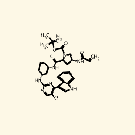 C=CC(=O)N[C@H]1CC(C(=O)N[C@H]2CCC[C@@H](Nc3ncc(Cl)c(-c4c[nH]c5ccccc45)n3)C2)N(C(=O)OC(C)(C)C)C1